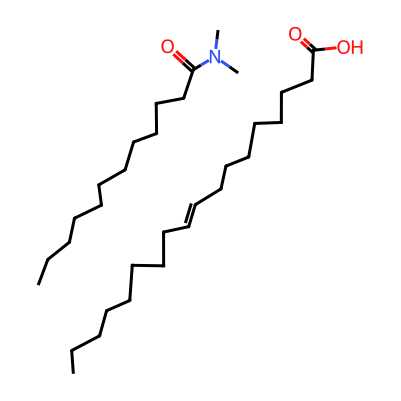 CCCCCCCCC=CCCCCCCCC(=O)O.CCCCCCCCCCCC(=O)N(C)C